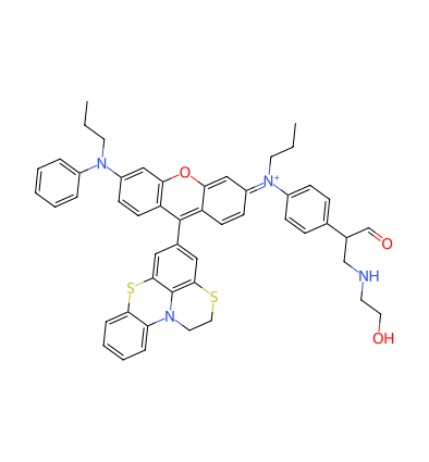 CCCN(c1ccccc1)c1ccc2c(-c3cc4c5c(c3)Sc3ccccc3N5CCS4)c3cc/c(=[N+](/CCC)c4ccc(C(C=O)CNCCO)cc4)cc-3oc2c1